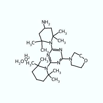 CC1(C)CCCC(C)(C)N1c1nc(N2CCOCC2)nc(N2C(C)(C)CC(N)CC2(C)C)n1.O.O